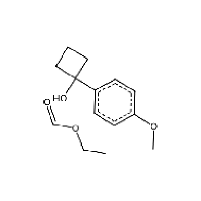 CCOC=O.COc1ccc(C2(O)CCC2)cc1